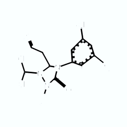 O=C1N(c2cc(Cl)cc(Cl)c2)C(CC=S)N(C(Cl)Cl)N1F